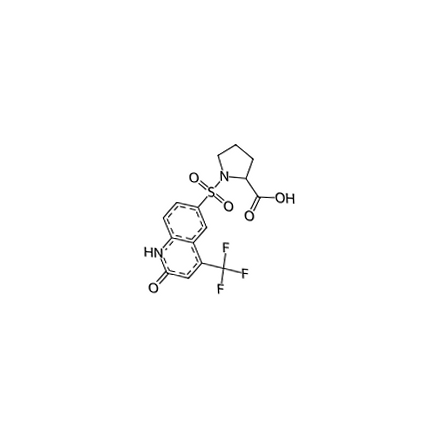 O=C(O)C1CCCN1S(=O)(=O)c1ccc2[nH]c(=O)cc(C(F)(F)F)c2c1